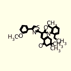 CCc1cccc(CC)c1-n1c2c(cc(-c3nc(-c4cccc(OC)c4)cs3)c1=O)C(=O)CC(C)(C)C2